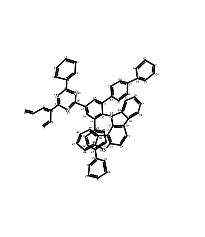 C=C/C=C(\C=C)c1nc(-c2ccccc2)nc(-c2cc(-c3ccc(-c4ccccc4)cc3)c(-n3c4ccccc4c4ccc5sc6ccccc6c5c43)c(-c3ccc(-c4ccccc4)cc3)c2)n1